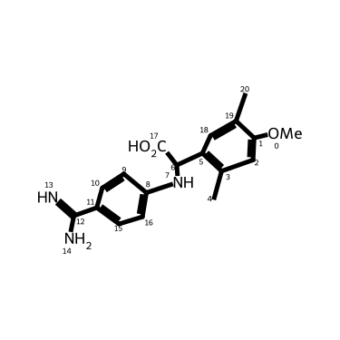 COc1cc(C)c(C(Nc2ccc(C(=N)N)cc2)C(=O)O)cc1C